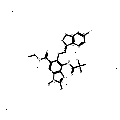 CCOC(=O)c1cc2c(nc(C)n2C)c(OC(=O)C(C)(C)C)c1CC=C1CCc2cc(F)ccc21